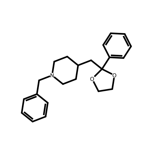 c1ccc(CN2CCC(CC3(c4ccccc4)OCCO3)CC2)cc1